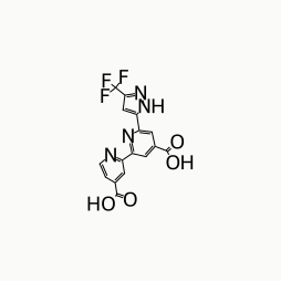 O=C(O)c1ccnc(-c2cc(C(=O)O)cc(-c3cc(C(F)(F)F)n[nH]3)n2)c1